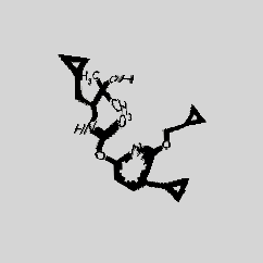 CC(C)(O)[C@H](CC1CC1)NC(=O)Oc1ccc(C2CC2)c(OCC2CC2)n1